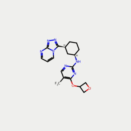 FC(F)(F)c1cnc(N[C@@H]2CCC[C@H](c3nnc4ncccn34)C2)nc1OC1COC1